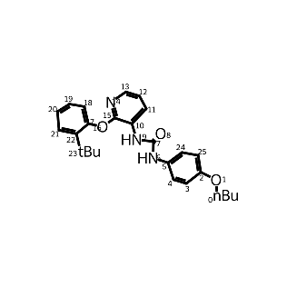 CCCCOc1ccc(NC(=O)Nc2cccnc2Oc2ccccc2C(C)(C)C)cc1